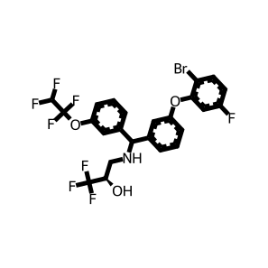 O[C@H](CNC(c1cccc(Oc2cc(F)ccc2Br)c1)c1cccc(OC(F)(F)C(F)F)c1)C(F)(F)F